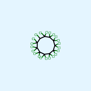 Cl[C]1C(Cl)(Cl)C(Cl)(Cl)C(Cl)(Cl)C(Cl)(Cl)C(Cl)(Cl)C(Cl)(Cl)C(Cl)(Cl)C(Cl)(Cl)C(Cl)(Cl)C1(Cl)Cl